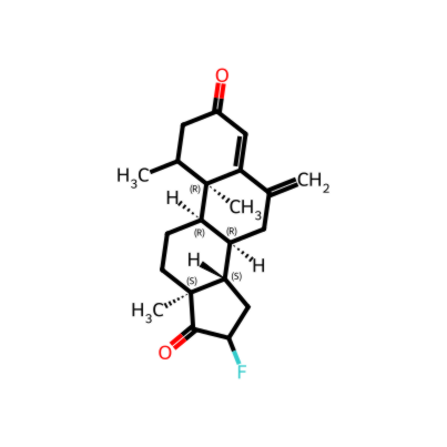 C=C1C[C@@H]2[C@@H](CC[C@]3(C)C(=O)C(F)C[C@@H]23)[C@]2(C)C1=CC(=O)CC2C